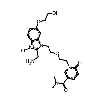 CC[n+]1c(CN)n(CCOCCn2cc(C(=O)N(C)C)ccc2=O)c2cc(OCCO)ccc21